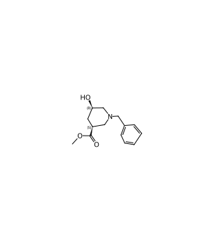 COC(=O)[C@H]1C[C@@H](O)CN(Cc2ccccc2)C1